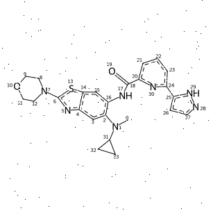 CN(c1cc2nc(N3CCOCC3)sc2cc1NC(=O)c1cccc(-c2ccn[nH]2)n1)C1CC1